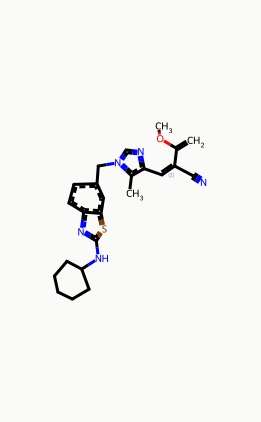 C=C(OC)/C(C#N)=C\c1ncn(Cc2ccc3nc(NC4CCCCC4)sc3c2)c1C